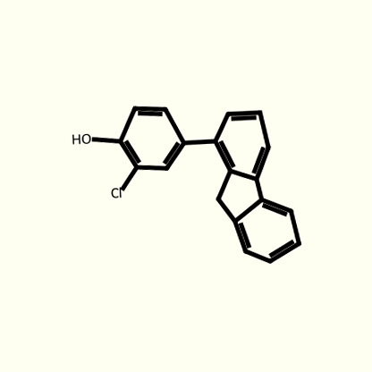 Oc1ccc(-c2cccc3c2Cc2ccccc2-3)cc1Cl